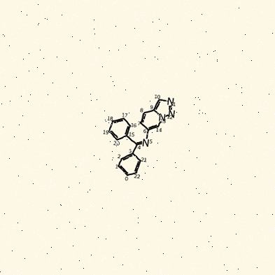 c1ccc(C(=Nc2ccc3cnnn3c2)c2ccccc2)cc1